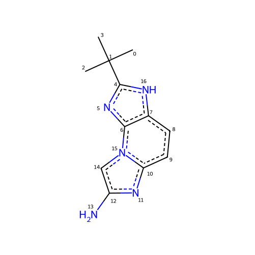 CC(C)(C)c1nc2c(ccc3nc(N)cn32)[nH]1